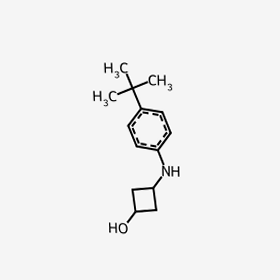 CC(C)(C)c1ccc(NC2CC(O)C2)cc1